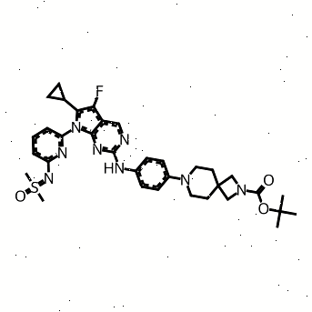 CC(C)(C)OC(=O)N1CC2(CCN(c3ccc(Nc4ncc5c(F)c(C6CC6)n(-c6cccc(N=S(C)(C)=O)n6)c5n4)cc3)CC2)C1